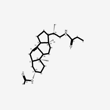 CCC(=O)NC[C@@H](C)C1CCC2C3=CCC4C[C@@H](OC(C)=O)CC[C@]4(C)C3CC[C@@]21C